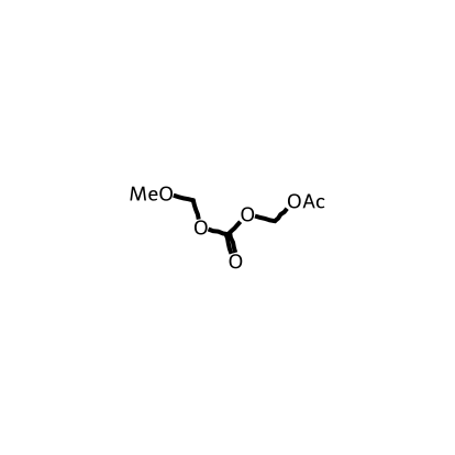 COCOC(=O)OCOC(C)=O